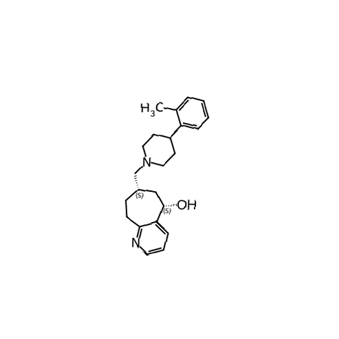 Cc1ccccc1C1CCN(C[C@H]2CCc3ncccc3[C@@H](O)C2)CC1